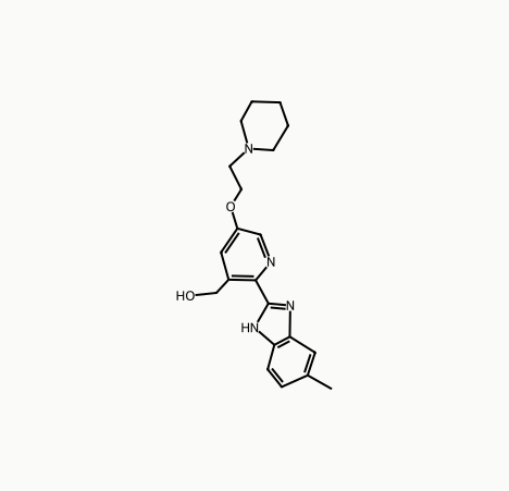 Cc1ccc2[nH]c(-c3ncc(OCCN4CCCCC4)cc3CO)nc2c1